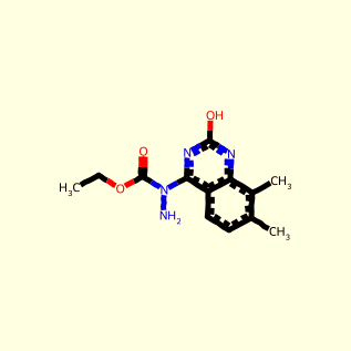 CCOC(=O)N(N)c1nc(O)nc2c(C)c(C)ccc12